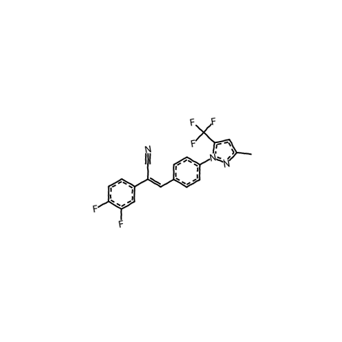 Cc1cc(C(F)(F)F)n(-c2ccc(C=C(C#N)c3ccc(F)c(F)c3)cc2)n1